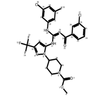 COC(=O)N1CCC(n2nc(C(F)(F)F)cc2N/C(=N\C(=O)c2cccc(Cl)c2)Nc2cc(F)cc(Cl)c2)CC1